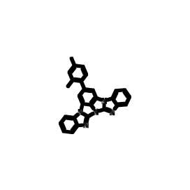 Cc1ccc(-c2cc3c4c(c2)n2c5ccccc5nc2n4c2nc4ccccc4n32)c(C)c1